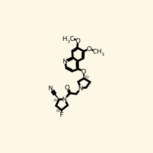 COc1cc2nccc(O[C@H]3CCN(CC(=O)N4C[C@@H](F)C[C@H]4C#N)C3)c2cc1OC